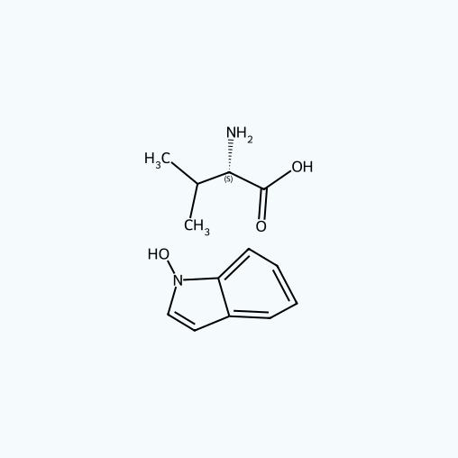 CC(C)[C@H](N)C(=O)O.On1ccc2ccccc21